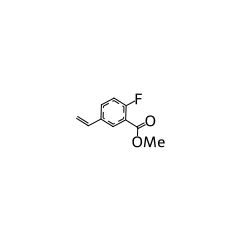 C=Cc1ccc(F)c(C(=O)OC)c1